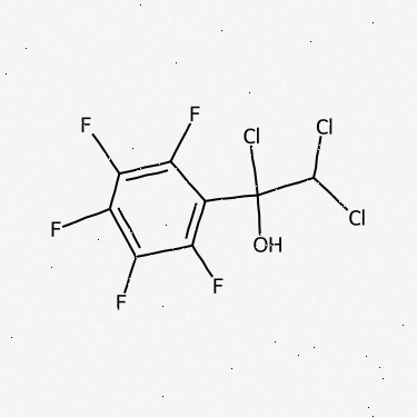 OC(Cl)(c1c(F)c(F)c(F)c(F)c1F)C(Cl)Cl